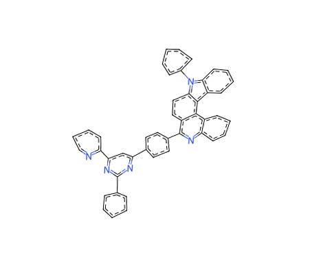 c1ccc(-c2nc(-c3ccc(-c4nc5ccccc5c5c4ccc4c5c5ccccc5n4-c4ccccc4)cc3)cc(-c3ccccn3)n2)cc1